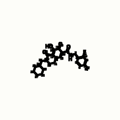 O=C(NCc1ccc(F)cc1F)c1cn2c(c(O)c1=O)C(=O)N(CC1CCCCC1)CC2